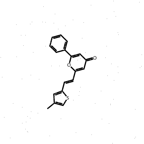 Cc1csc(C=Cc2cc(=O)cc(-c3ccccc3)o2)c1